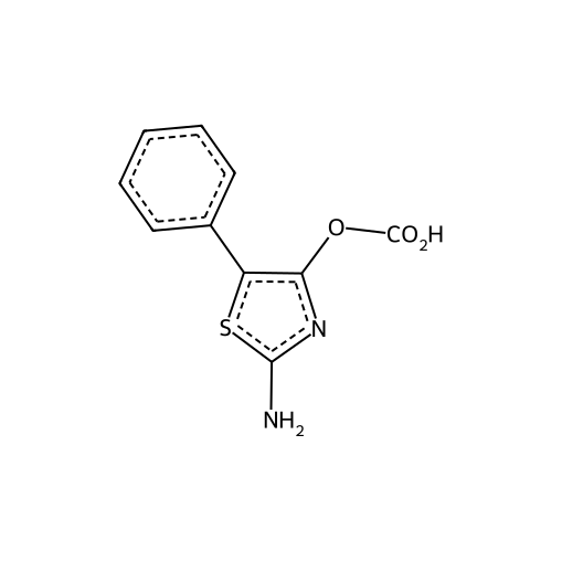 Nc1nc(OC(=O)O)c(-c2ccccc2)s1